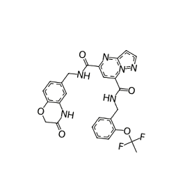 CC(F)(F)Oc1ccccc1CNC(=O)c1cc(C(=O)NCc2ccc3c(c2)NC(=O)CO3)nc2ccnn12